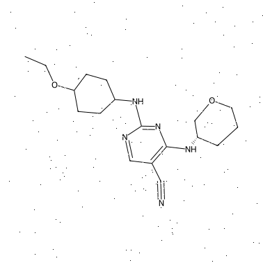 CCOC1CCC(Nc2ncc(C#N)c(N[C@H]3CCCOC3)n2)CC1